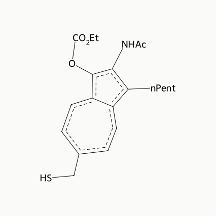 CCCCCc1c2ccc(CS)ccc-2c(OC(=O)OCC)c1NC(C)=O